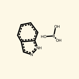 OB(O)O.c1ccc2[nH]ncc2c1